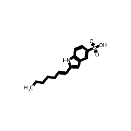 CCCCCC=Cc1cc2cc(S(=O)(=O)O)ccc2[nH]1